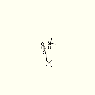 C[Si](C)(C)CCO[PH](=O)O[Si](C)(C)C